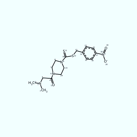 CN(C)CC(=O)N1CCN(C(=S)SCc2ccc([N+](=O)[O-])cc2)CC1